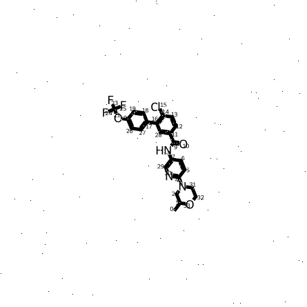 CC1CN(c2ccc(NC(=O)c3ccc(Cl)c(-c4ccc(OC(F)(F)F)cc4)c3)cn2)CCO1